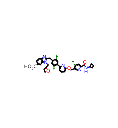 O=C(O)c1ccc2nc(Cc3cc(F)c(-c4cccc(OCc5cnc(C(=O)NC6CCC6)cc5F)n4)cc3F)n(CC3CCO3)c2c1